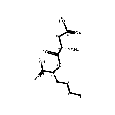 CCCC[C@H](NC(=O)[C@@H](N)CC(=O)O)C(=O)O